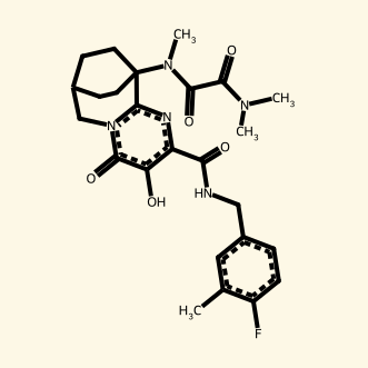 Cc1cc(CNC(=O)c2nc3n(c(=O)c2O)CC2CCC3(N(C)C(=O)C(=O)N(C)C)CC2)ccc1F